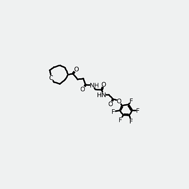 O=C(CCC(=O)C1CCCCCCCC1)NCC(=O)NCC(=O)Oc1c(F)c(F)c(F)c(F)c1F